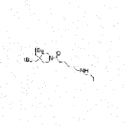 CC(C)(C)CC1(CC(C)(C)C)CCN(C(=O)CCCCCNCCI)CC1